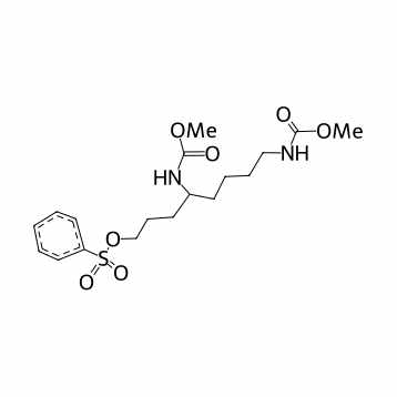 COC(=O)NCCCCC(CCCOS(=O)(=O)c1ccccc1)NC(=O)OC